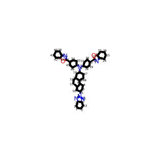 c1ccc2nn(-c3ccc4c(ccc5cc(N(c6ccc(-c7nc8ccccc8o7)cc6)c6ccc(-c7nc8ccccc8o7)cc6)ccc54)c3)nc2c1